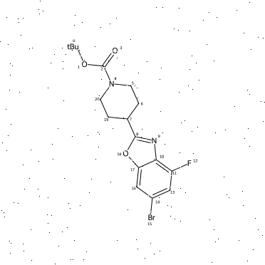 CC(C)(C)OC(=O)N1CCC(c2nc3c(F)cc(Br)cc3o2)CC1